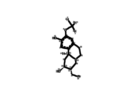 [2H]C([2H])([2H])Oc1cc2c(cc1O)[C@@H]1C[C@@H](O)[C@@H](CC(C)C)CN1CC2